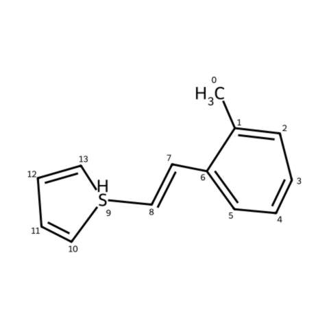 Cc1ccccc1C=C[SH]1C=CC=C1